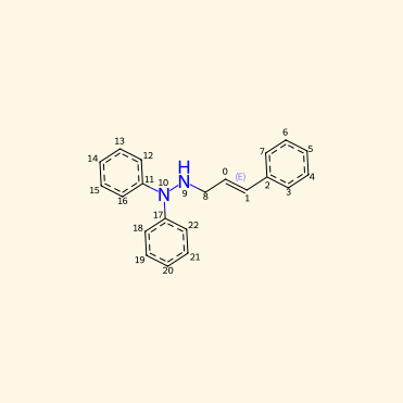 C(=C\c1ccccc1)/CNN(c1ccccc1)c1ccccc1